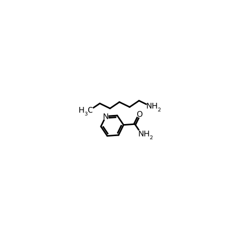 CCCCCCN.NC(=O)c1cccnc1